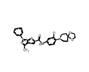 Cc1nn(-c2ccccc2)c2sc(C(=O)Nc3ccc(N4CCC5(CC4)OCCO5)c(Cl)c3)cc12